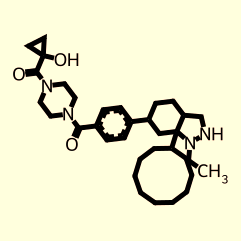 CCN1NCC2CCC(c3ccc(C(=O)N4CCN(C(=O)C5(O)CC5)CC4)cc3)CC21C1CCCCCCCCC1